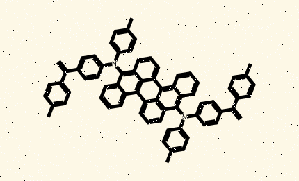 C=C(c1ccc(C)cc1)c1ccc(N(c2ccc(C)cc2)c2c3ccccc3c3c4cccc5c(N(c6ccc(C)cc6)c6ccc(C(=C)c7ccc(C)cc7)cc6)c6ccccc6c(c6cccc2c63)c54)cc1